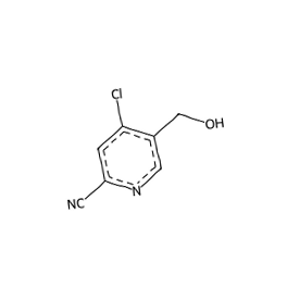 N#Cc1cc(Cl)c(CO)cn1